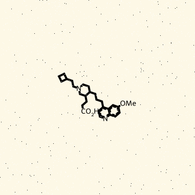 COc1ccc2nccc(CCCC3CCN(CCC4CCC4)CC3CCC(=O)O)c2c1